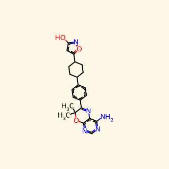 CC1(C)Oc2ncnc(N)c2N=C1c1ccc(C2CCC(c3cc(O)no3)CC2)cc1